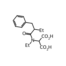 CCC(Cc1ccccc1)C(=O)N(CC)C(C(=O)O)C(=O)O